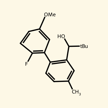 COc1ccc(F)c(-c2ccc(C)cc2C(O)C(C)(C)C)c1